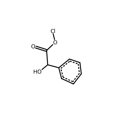 O=C(OCl)C(O)c1ccccc1